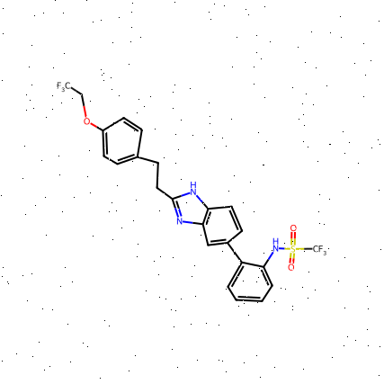 O=S(=O)(Nc1ccccc1-c1ccc2[nH]c(CCc3ccc(OCC(F)(F)F)cc3)nc2c1)C(F)(F)F